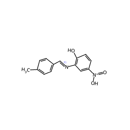 Cc1ccc(/C=N/c2cc([N+](=O)O)ccc2O)cc1